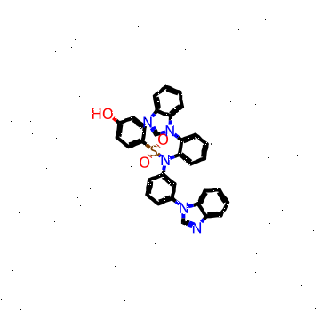 O=S(=O)(c1ccc(O)cc1)N(c1cccc(-n2cnc3ccccc32)c1)c1cc[c]cc1-n1cnc2ccccc21